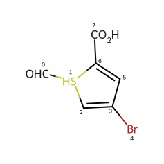 O=C[SH]1C=C(Br)C=C1C(=O)O